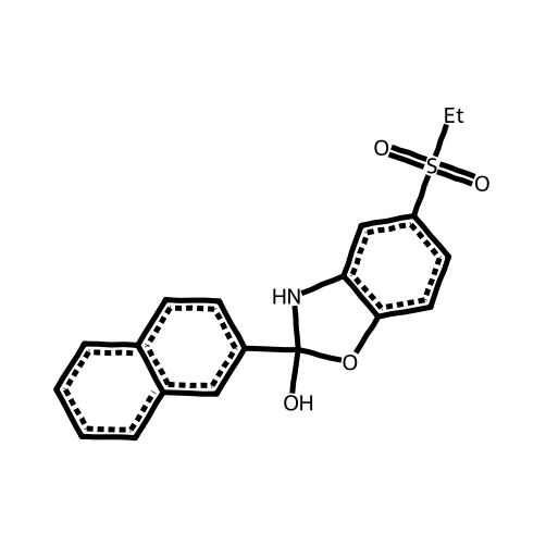 CCS(=O)(=O)c1ccc2c(c1)NC(O)(c1ccc3ccccc3c1)O2